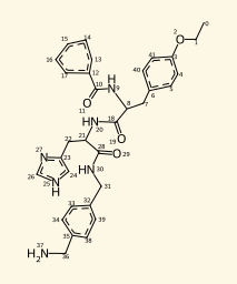 CCOc1ccc(CC(NC(=O)c2ccccc2)C(=O)NC(Cc2c[nH]cn2)C(=O)NCc2ccc(CN)cc2)cc1